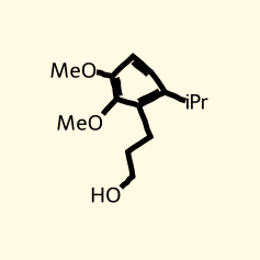 COc1ccc(C(C)C)c(CCCO)c1OC